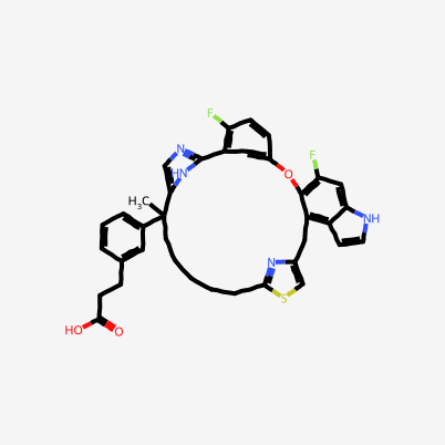 CC1(c2cccc(CCC(=O)O)c2)CCCCCc2nc(cs2)Cc2c(c(F)cc3[nH]ccc23)Oc2ccc(F)c(c2)-c2ncc1[nH]2